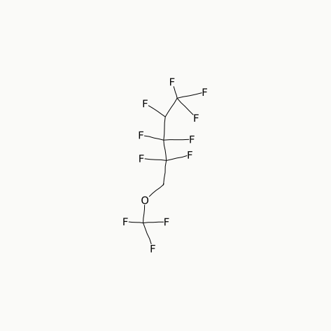 FC(C(F)(F)F)C(F)(F)C(F)(F)COC(F)(F)F